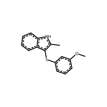 COc1cccc(Sc2c(C)[nH]c3ccccc23)c1